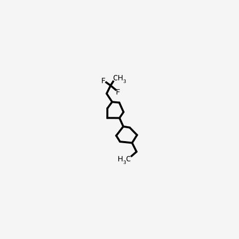 CCC1CCC(C2CCC(CC(C)(F)F)CC2)CC1